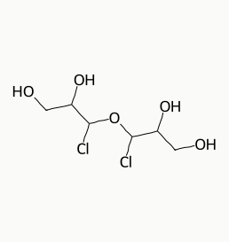 OCC(O)C(Cl)OC(Cl)C(O)CO